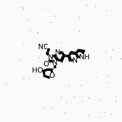 N#CCCn1c(=O)n(C[C@H]2C[C@H](O)CCO2)c2cc(-c3cnc4[nH]ccc4c3)cnc21